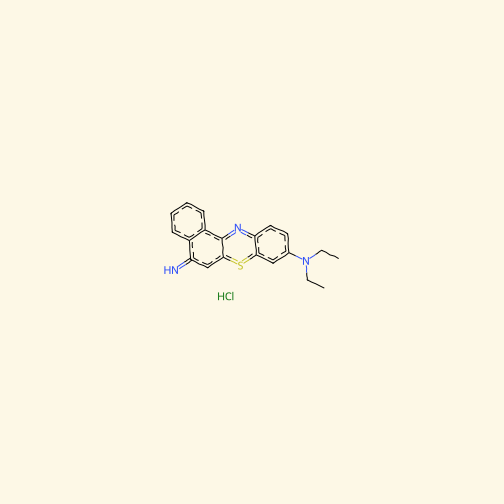 CCN(CC)c1ccc2nc3c4ccccc4c(=N)cc-3sc2c1.Cl